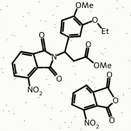 CCOc1cc(C(CC(=O)OC)N2C(=O)c3cccc([N+](=O)[O-])c3C2=O)ccc1OC.O=C1OC(=O)c2c1cccc2[N+](=O)[O-]